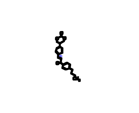 CCCCc1ccc(C(=O)/C=C/c2ccc(C3COC(=O)OC3)cc2)cc1